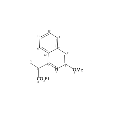 CCOC(=O)C(C)c1nc(OC)cc2ccccc12